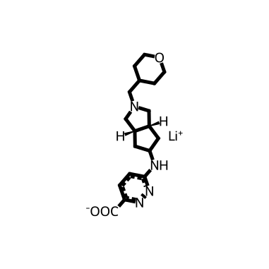 O=C([O-])c1ccc(NC2C[C@@H]3CN(CC4CCOCC4)C[C@@H]3C2)nn1.[Li+]